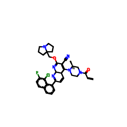 C=CC(=O)N1CCN(C2=C(C#N)C(OCC34CCCN3CCC4)=NC3N=C(c4cccc5ccc(F)c(Cl)c45)C=CC23)[C@@H](C)C1